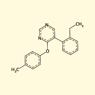 CCc1ccccc1-c1cncnc1Oc1ccc(C)cc1